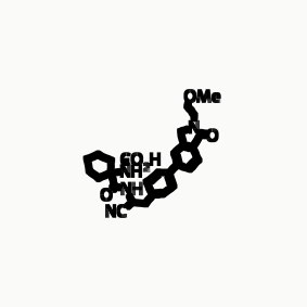 COCCN1Cc2cc(-c3ccc(CC(C#N)NC(=O)C4(NC(=O)O)CCCCC4)cc3)ccc2C1=O